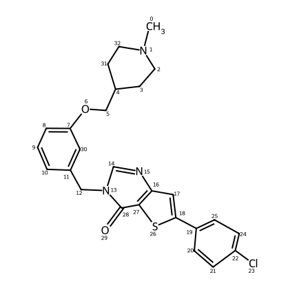 CN1CCC(COc2cccc(Cn3cnc4cc(-c5ccc(Cl)cc5)sc4c3=O)c2)CC1